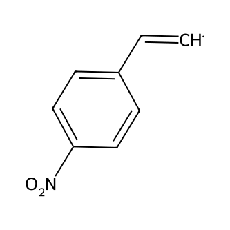 [CH]=Cc1ccc([N+](=O)[O-])cc1